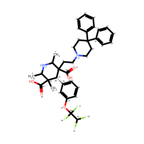 CC1NC(C)C(CCN2CCC(c3ccccc3)(c3ccccc3)CC2)(C(=O)O)[C@H](c2cccc(OC(F)(F)C(F)F)c2)C1(C)C(=O)O